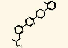 CNN(C)Cc1cccc(-c2cnc(N3CCN(c4ccccc4F)CC3)nc2)c1